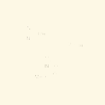 CCCCOc1ccc(S(=O)(=O)NC(=O)OC)c(-c2ccc(Cn3ccnc3C(C)(C)C)cc2)c1